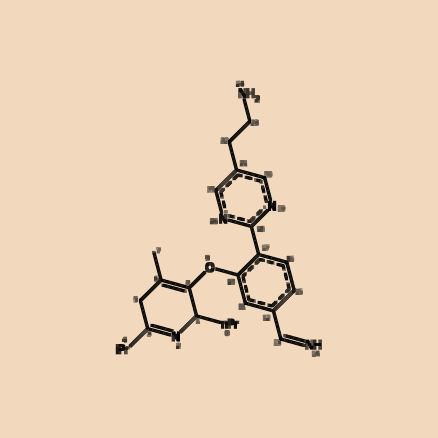 CCCC1N=C(C(C)C)CC(C)=C1Oc1cc(C=N)ccc1-c1ncc(CCN)cn1